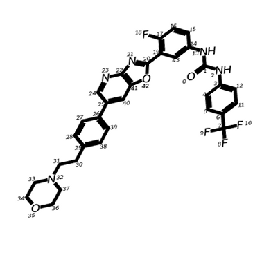 O=C(Nc1ccc(C(F)(F)F)cc1)Nc1ccc(F)c(-c2nc3ncc(-c4ccc(CCN5CCOCC5)cc4)cc3o2)c1